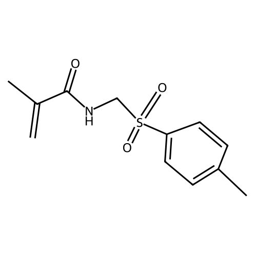 C=C(C)C(=O)NCS(=O)(=O)c1ccc(C)cc1